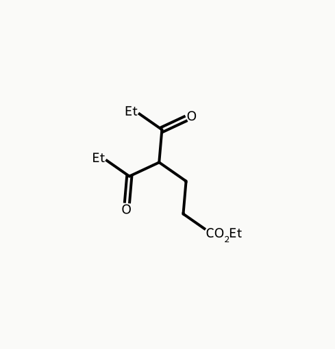 CCOC(=O)CCC(C(=O)CC)C(=O)CC